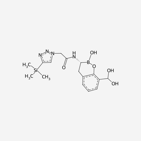 C[Si](C)(C)c1cn(CC(=O)N[C@H]2Cc3cccc(C(O)O)c3OB2O)nn1